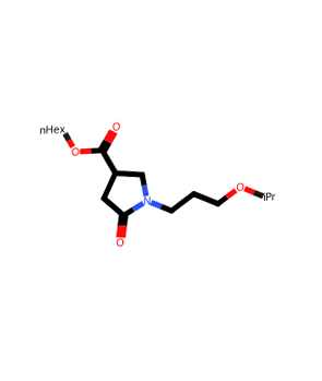 CCCCCCOC(=O)C1CC(=O)N(CCCOC(C)C)C1